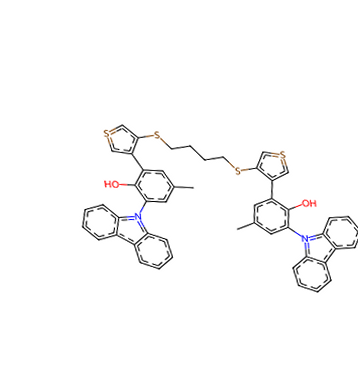 Cc1cc(-c2cscc2SCCCCSc2cscc2-c2cc(C)cc(-n3c4ccccc4c4ccccc43)c2O)c(O)c(-n2c3ccccc3c3ccccc32)c1